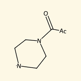 CC(=O)C(=O)N1CC[N]CC1